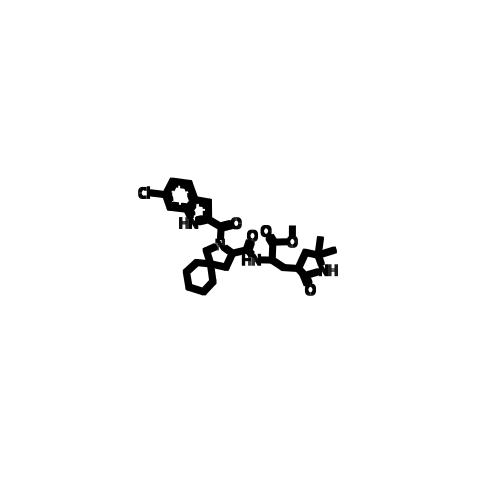 COC(=O)C(CC1CC(C)(C)NC1=O)NC(=O)C1CC2(CCCCC2)CN1C(=O)c1cc2ccc(Cl)cc2[nH]1